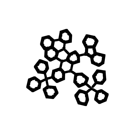 c1ccc(-c2ccccc2N2c3ccccc3B3c4cc([Si](c5ccccc5)(c5ccccc5)c5ccccc5)ccc4N(c4ccc([Si](c5ccccc5)(c5ccccc5)c5ccccc5)cc4)c4cc(-n5c6ccccc6c6ccccc65)cc2c43)cc1